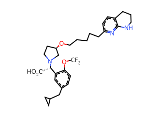 O=C(O)[C@@H](c1cc(CC2CC2)ccc1OC(F)(F)F)N1CC[C@@H](OCCCCCc2ccc3c(n2)NCCC3)C1